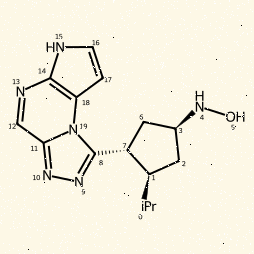 CC(C)[C@@H]1C[C@H](NO)C[C@H]1c1nnc2cnc3[nH]ccc3n12